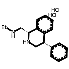 CCNC[C@H]1NC[C@@H](c2ccccc2)c2ccccc21.Cl.Cl